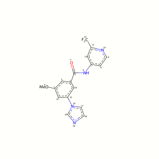 COc1cc(C(=O)Nc2ccnc(C(F)(F)F)c2)cc(-n2ccnc2)c1